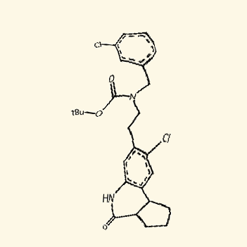 CC(C)(C)OC(=O)N(CCc1cc2c(cc1Cl)C1CCCC1C(=O)N2)Cc1cccc(Cl)c1